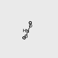 c1ccc(OCCCCNCCCCOc2ccccc2)cc1